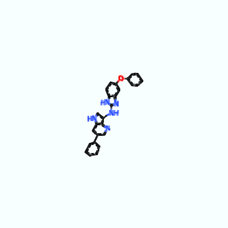 c1ccc(Oc2ccc3[nH]c(Nc4c[nH]c5cc(-c6ccccc6)cnc45)nc3c2)cc1